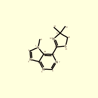 Cn1cnc2ncnc(C3=NC(C)(C)CS3)c21